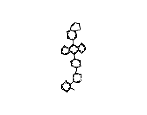 Cc1cccnc1-c1cncc(-c2ccc(-c3c4ccccc4c(-c4ccc5c(c4)CCC=C5)c4ccccc34)cc2)c1